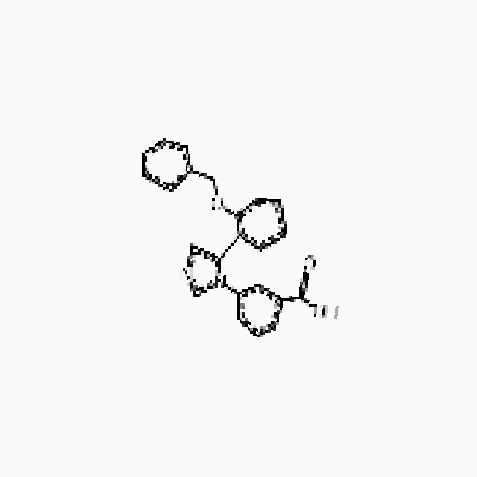 O=C(O)c1cccc(-n2cncc2-c2ccccc2OCc2ccccc2)c1